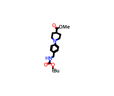 COC(=O)C1CCN(c2ccc(CNC(=O)OC(C)(C)C)cc2)CC1